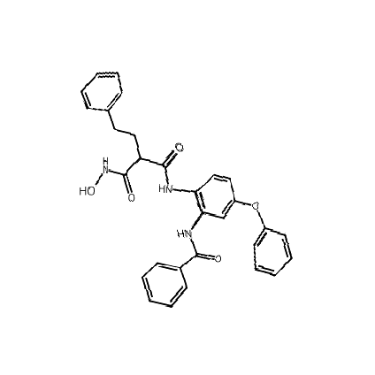 O=C(Nc1cc(Oc2ccccc2)ccc1NC(=O)C(CCc1ccccc1)C(=O)NO)c1ccccc1